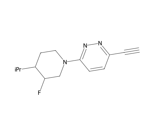 C#Cc1ccc(N2CCC(C(C)C)C(F)C2)nn1